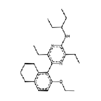 CCOc1ccc2c(c1-c1nc(CC)c(NC(CC)CC)nc1CC)CCCC2